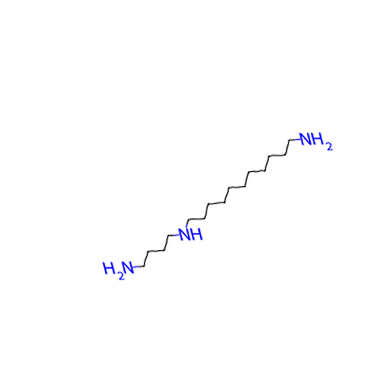 NCCCCCCCCCCCNCCCCN